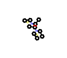 c1ccc(-c2cccc(N(c3cccc(-c4ccccc4N(c4cccc(-c5ccccc5)c4)c4cccc5c4sc4ccccc45)c3)c3cccc4c3sc3ccccc34)c2)cc1